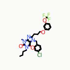 CCCCn1c(=O)c2c(nc(CCCOc3cccc(OC(F)(F)F)c3)n2Cc2ccc(Cl)cc2)n(C)c1=O